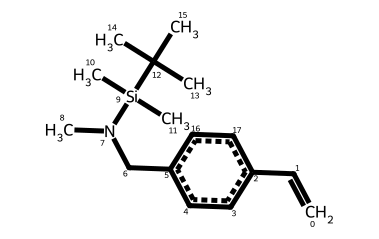 C=Cc1ccc(CN(C)[Si](C)(C)C(C)(C)C)cc1